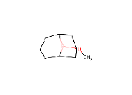 COB1C2CCCC1CCC2